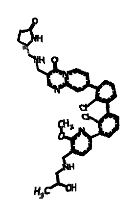 COc1nc(-c2cccc(-c3cccc(-c4ccn5c(=O)c(CNC[C@@H]6CCC(=O)N6)cnc5c4)c3Cl)c2Cl)ccc1CNCC(C)O